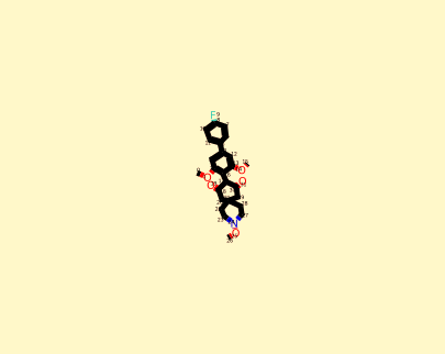 COc1cc(-c2ccc(F)cc2)cc(OC)c1C1C(=O)CC2(CCN(OC)CC2)CC1=O